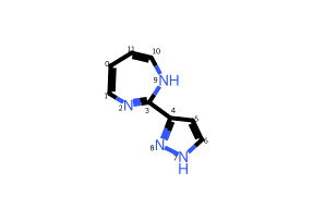 C1=CN=C(c2cc[nH]n2)NC=C1